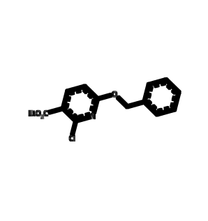 CCOC(=O)c1ccc(OCc2ccccc2)nc1Cl